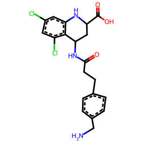 NCc1ccc(CCC(=O)NC2CC(C(=O)O)Nc3cc(Cl)cc(Cl)c32)cc1